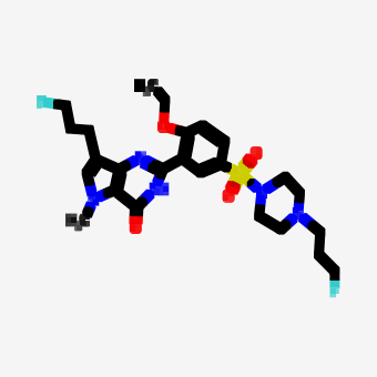 CCOc1ccc(S(=O)(=O)N2CCN(CCCF)CC2)cc1-c1nc2c(CCCF)cn(C)c2c(=O)[nH]1